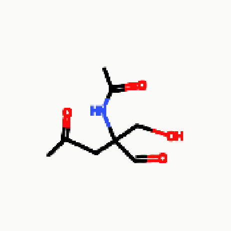 CC(=O)CC(C=O)(CO)NC(C)=O